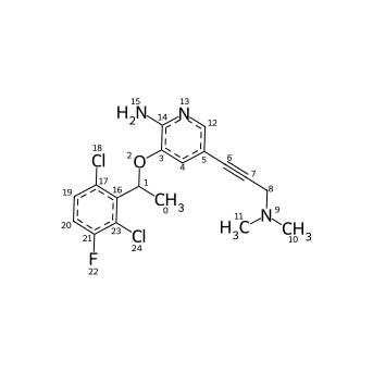 CC(Oc1cc(C#CCN(C)C)cnc1N)c1c(Cl)ccc(F)c1Cl